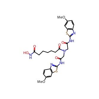 COc1ccc2nc(NC(=O)CN(CC(=O)Nc3nc4ccc(OC)cc4s3)C(=O)CCCCCC(=O)NO)sc2c1